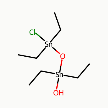 C[CH2][Sn]([OH])([CH2]C)[O][Sn]([Cl])([CH2]C)[CH2]C